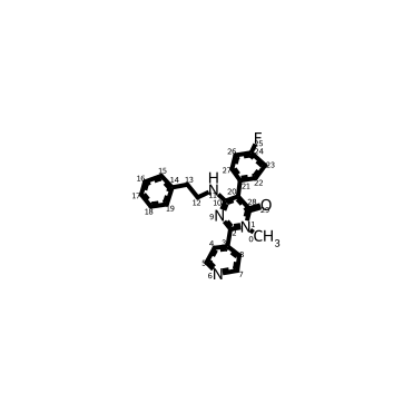 Cn1c(-c2ccncc2)nc(NCCc2ccccc2)c(-c2ccc(F)cc2)c1=O